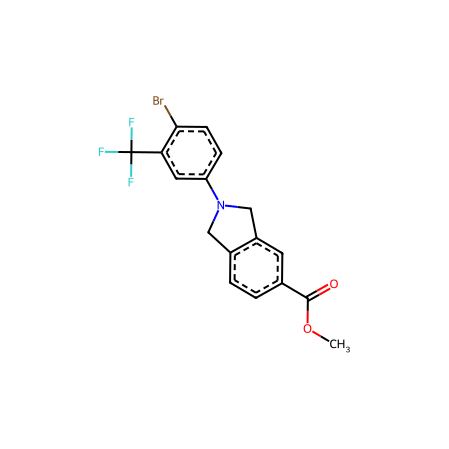 COC(=O)c1ccc2c(c1)CN(c1ccc(Br)c(C(F)(F)F)c1)C2